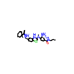 C=C(Nc1cc(CNC(=C)C2(C)CCCCC2)ccc1Cl)N(C)c1ccc(C(=O)NCCC)cc1N